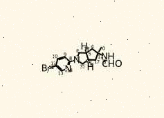 CC1(NC=O)C[C@H]2CN(c3ccc(Br)cn3)C[C@H]2C1